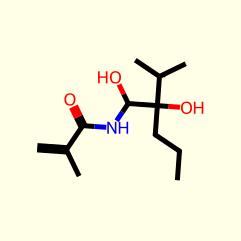 C=C(C)C(=O)NC(O)C(O)(CCC)[C](C)C